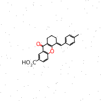 Cc1ccc(C=C2CCCc3c2oc2ccc(C(=O)O)cc2c3=O)cc1